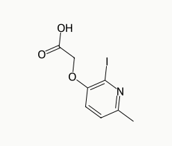 Cc1ccc(OCC(=O)O)c(I)n1